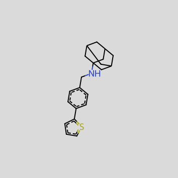 c1csc(-c2ccc(CNC34CC5CC(CC(C5)C3)C4)cc2)c1